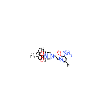 CC(C)(C)OC(=O)N1CCN(CCn2cc(C3CC3)cc(N)c2=O)CC1